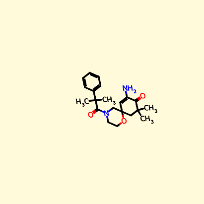 CC1(C)CC2(C=C(N)C1=O)CN(C(=O)C(C)(C)c1ccccc1)CCO2